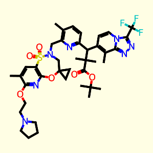 Cc1ccc(C(c2ccn3c(C(F)(F)F)nnc3c2C)C(C)(C)C(=O)OC(C)(C)C)nc1CN1CC2(CC2)Oc2nc(OCCN3CCCC3)c(C)cc2S1(=O)=O